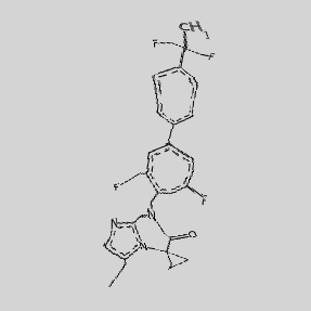 CC(F)(F)c1ccc(-c2cc(F)c(N3C(=O)C4(CC4)n4c(I)cnc43)c(F)c2)cc1